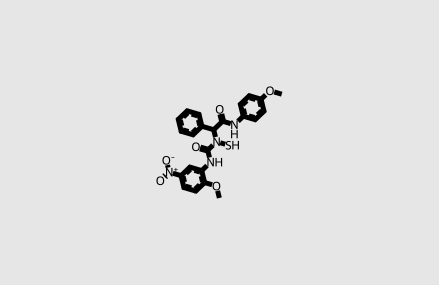 COc1ccc(NC(=O)C(c2ccccc2)N(S)C(=O)Nc2cc([N+](=O)[O-])ccc2OC)cc1